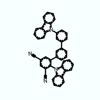 N#Cc1cc(C#N)c(-n2c3ccccc3c3ccccc32)c(-c2cccc(-c3cccc(-n4c5ccccc5c5ccccc54)c3)c2)c1